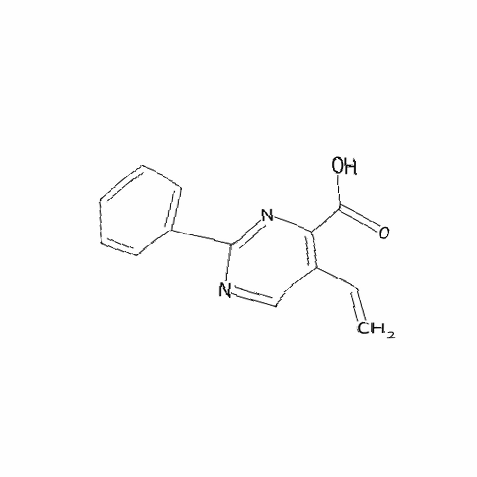 C=Cc1cnc(-c2ccccc2)nc1C(=O)O